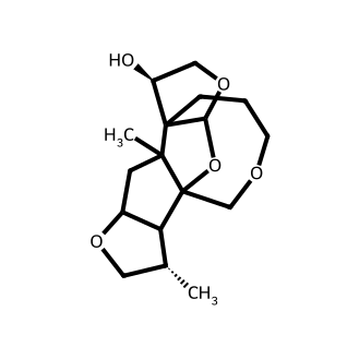 C[C@@H]1COC2CC3(C)C4(COCCCC35C(OC[C@@H]5O)O4)C21